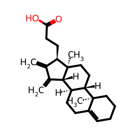 C=C1C(=C)[C@H]2[C@@H]3CCC4=CCCC[C@]4(C)[C@H]3CC[C@]2(C)[C@@H]1CCC(=O)O